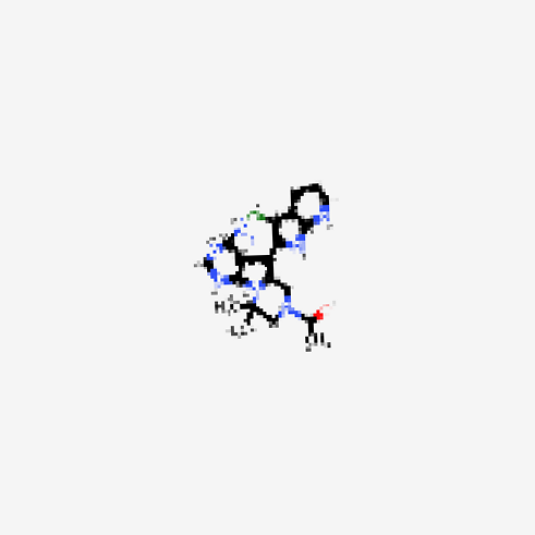 CC(=O)N1Cc2c(-c3[nH]c4ncccc4c3Cl)c3c(N)ncnc3n2C(C)(C)C1